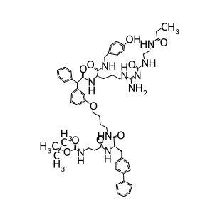 CCC(=O)NCCNC(=O)/N=C(/N)NCCC[C@@H](NC(=O)C(c1ccccc1)c1cccc(OCCCCNC(=O)[C@@H](Cc2ccc(-c3ccccc3)cc2)NC(=O)CCNC(=O)OC(C)(C)C)c1)C(=O)NCc1ccc(O)cc1